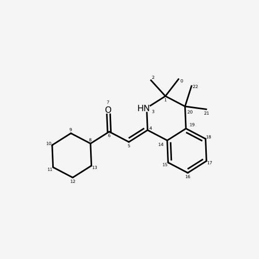 CC1(C)N/C(=C\C(=O)C2CCCCC2)c2ccccc2C1(C)C